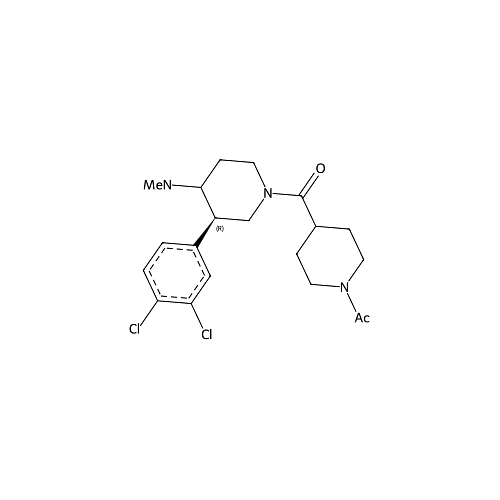 CNC1CCN(C(=O)C2CCN(C(C)=O)CC2)C[C@H]1c1ccc(Cl)c(Cl)c1